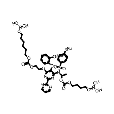 COc1ccccc1Oc1c(OCCOC(=O)OCCCCCCON(O)O)nc(-c2ncccn2)nc1N(C(C)OC(=O)OCCCCON(O)O)S(=O)(=O)c1ccc(C(C)(C)C)cc1